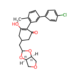 Cc1ccc(-c2ccc(Cl)cc2)cc1C1=C(O)CC(CC2O[C@H]3COC[C@H]3O2)CC1=O